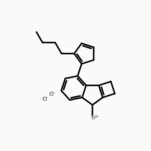 CCCCC1=C(c2cccc3c2C2=C(CC2)[CH]3[Ti+2])CC=C1.[Cl-].[Cl-]